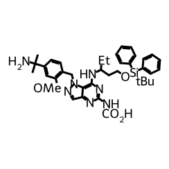 CCC(CCO[Si](c1ccccc1)(c1ccccc1)C(C)(C)C)Nc1nc(NC(=O)O)nc2cnn(Cc3ccc(C(C)(C)N)cc3OC)c12